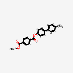 CCCCCCCCCCOC(=O)c1ccc(C(=O)Oc2ccc(-c3ccc([N+](=O)[O-])cc3)cc2)cc1